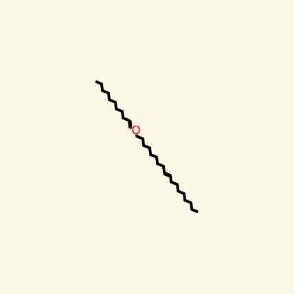 CCCCCCCCC=CCCCCCCCCOC=CCCCCCCCCC